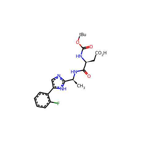 C[C@H](NC(=O)[C@H](CC(=O)O)NC(=O)OC(C)(C)C)c1ncc(-c2ccccc2F)[nH]1